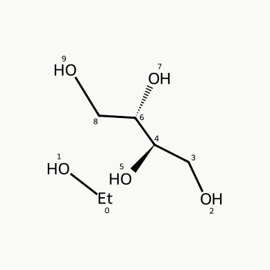 CCO.OC[C@@H](O)[C@@H](O)CO